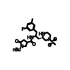 CCCCN1CC(C(=O)NC(Cc2cc(C)cc(F)c2)C[C@H]2CN(S(C)(=O)=O)CCN2)CC1=O